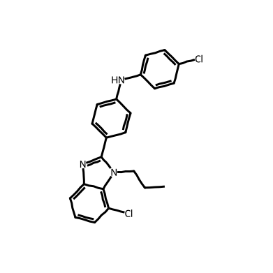 CCCn1c(-c2ccc(Nc3ccc(Cl)cc3)cc2)nc2cccc(Cl)c21